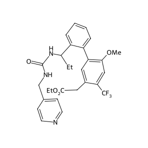 CCOC(=O)Cc1cc(-c2ccccc2C(CC)NC(=O)NCc2ccncc2)c(OC)cc1C(F)(F)F